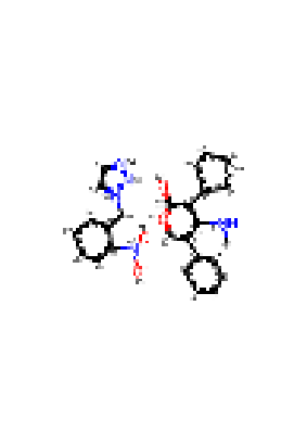 CNc1c(-c2ccccc2)coc(=O)c1-c1ccccc1.O=[N+]([O-])c1ccccc1Cn1ccnn1